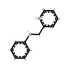 c1ccc(SCc2ccccn2)cc1